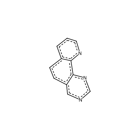 c1cnc2c(c1)ccc1cncnc12